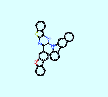 c1ccc2cc3c(cc2c1)c1ccccc1n3C1Nc2c(sc3ccccc23)N=C1c1ccc2c(c1)oc1ccccc12